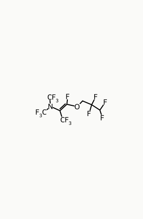 F/C(OCC(F)(F)C(F)F)=C(\N(C(F)(F)F)C(F)(F)F)C(F)(F)F